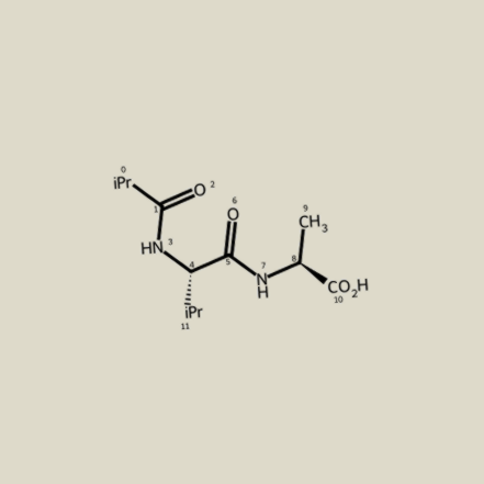 CC(C)C(=O)N[C@H](C(=O)N[C@@H](C)C(=O)O)C(C)C